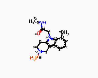 Bc1cccc2c3c(n(CC(=O)NC)c12)CCN(P)C3